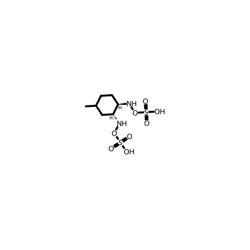 CC1CC[C@@H](NOS(=O)(=O)O)[C@H](NOS(=O)(=O)O)C1